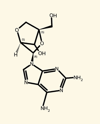 Nc1nc(N)c2ncn([C@@H]3O[C@@]4(CO)CO[C@H]3C4O)c2n1